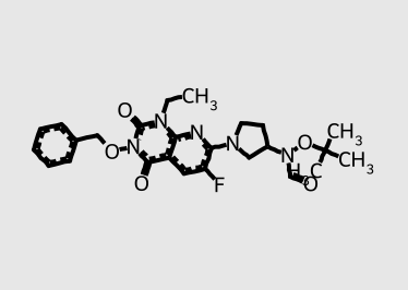 CCn1c(=O)n(OCc2ccccc2)c(=O)c2cc(F)c(N3CCC(N(C=O)OC(C)(C)C)C3)nc21